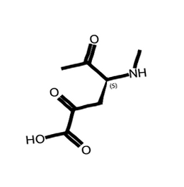 CN[C@@H](CC(=O)C(=O)O)C(C)=O